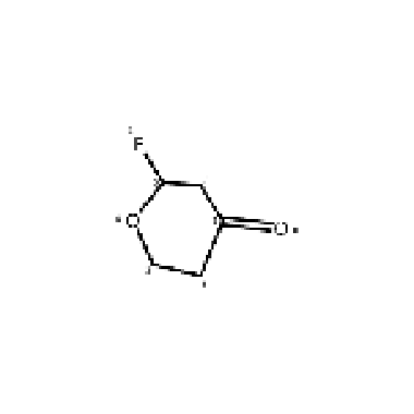 O=C1CCOC(F)C1